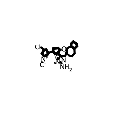 [C-]#[N+]c1cc(Cl)cc(-c2ccc3c(c2)C2(CC4(CCCc5ccccc5C4)O3)N=C(N)N(C)O2)c1